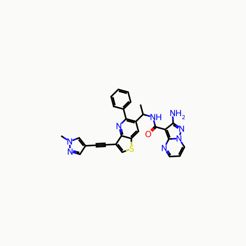 CC(NC(=O)c1c(N)nn2cccnc12)c1cc2scc(C#Cc3cnn(C)c3)c2nc1-c1ccccc1